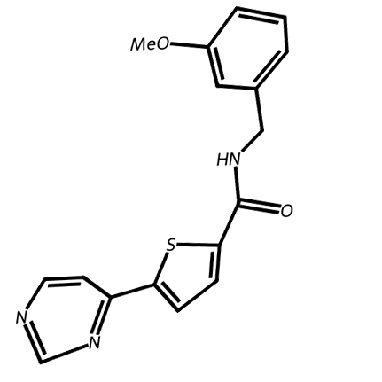 COc1cccc(CNC(=O)c2ccc(-c3ccncn3)s2)c1